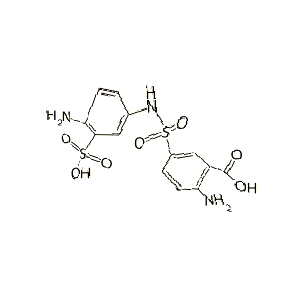 Nc1ccc(S(=O)(=O)Nc2ccc(N)c(S(=O)(=O)O)c2)cc1C(=O)O